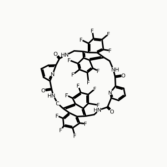 O=C1NCc2c3c(F)c(F)c(F)c(F)c3c(c3c(F)c(F)c(F)c(F)c23)CNC(=O)c2cccc(n2)C(=O)NCc2c3c(F)c(F)c(F)c(F)c3c(c3c(F)c(F)c(F)c(F)c23)CNC(=O)c2cccc1n2